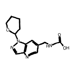 O=C(O)NCc1cnc2cnn(C3CCCCO3)c2c1